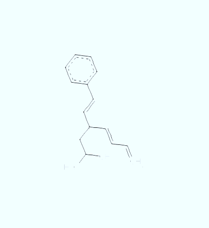 C=CC=C[C](C=Cc1ccccc1)CC(C)C